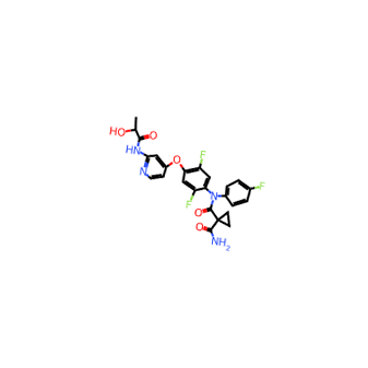 CC(O)C(=O)Nc1cc(Oc2cc(F)c(N(C(=O)C3(C(N)=O)CC3)c3ccc(F)cc3)cc2F)ccn1